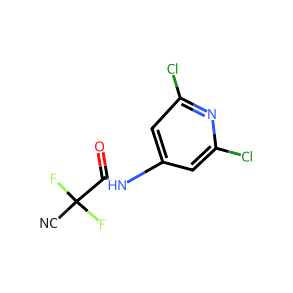 N#CC(F)(F)C(=O)Nc1cc(Cl)nc(Cl)c1